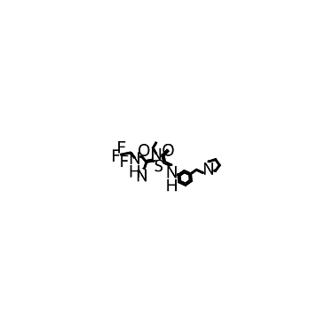 CCn1c(=C(C#N)C(=O)NCC(F)(F)F)sc(=CNc2cccc(CCN3CCCC3)c2)c1=O